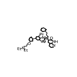 CCN(CC)CCCOc1cccc(-c2cc(C(C)C)c(NC(=O)N(CCCc3ccccc3)c3cc4cccnc4[nH]c3=O)c(C(C)C)c2)c1